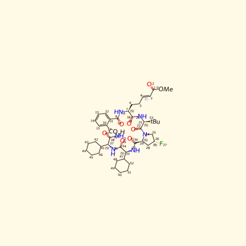 COC(=O)/C=C/CC[C@H](NC(=O)c1ccccc1C(=O)O)C(=O)N[C@H](C(=O)N1C[C@H](F)C[C@H]1C(=O)N[C@H](C(=O)N[C@H](C(N)=O)C1CCCCC1)C1CCCCC1)C(C)(C)C